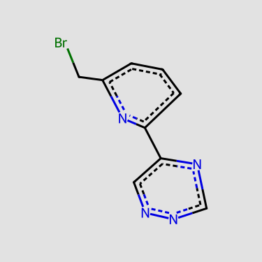 BrCc1cccc(-c2cnncn2)n1